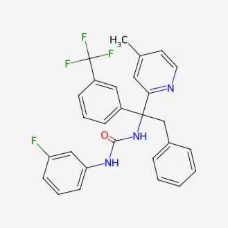 Cc1ccnc(C(Cc2ccccc2)(NC(=O)Nc2cccc(F)c2)c2cccc(C(F)(F)F)c2)c1